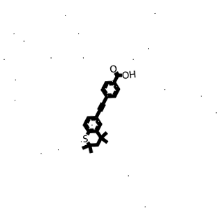 CC1(C)CC(C)(C)c2cc(C#Cc3ccc(C(=O)O)cc3)ccc2S1